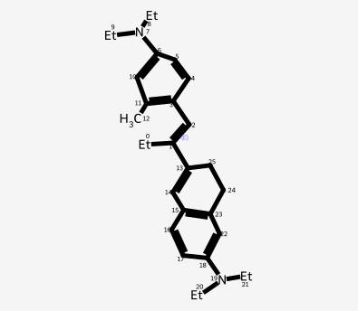 CC/C(=C\c1ccc(N(CC)CC)cc1C)C1=Cc2ccc(N(CC)CC)cc2CC1